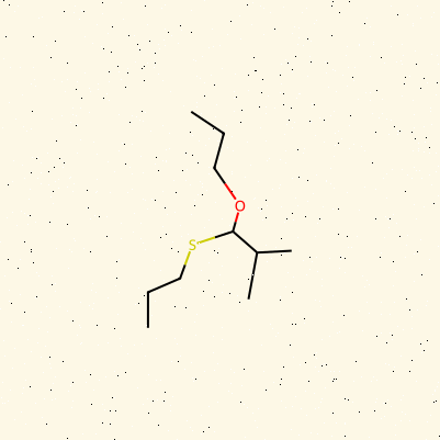 CCCOC(SCCC)C(C)C